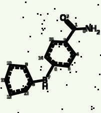 NC(=O)c1ccc(Bc2ccccc2)cc1